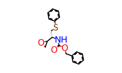 O=C(N[C@@H](CSc1ccccc1)C1CO1)OCc1ccccc1